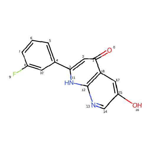 O=c1cc(-c2cccc(F)c2)[nH]c2ncc(O)cc12